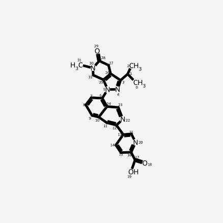 CC(C)c1nn(-c2cccc3cc(-c4ccc(C(=O)O)nc4)ncc23)c2c1CC(=O)N(C)C2